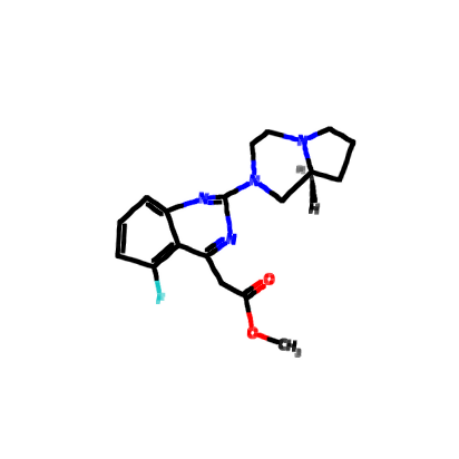 COC(=O)Cc1nc(N2CCN3CCC[C@@H]3C2)nc2cccc(F)c12